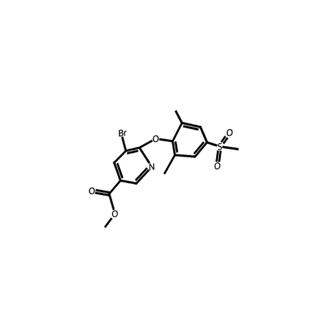 COC(=O)c1cnc(Oc2c(C)cc(S(C)(=O)=O)cc2C)c(Br)c1